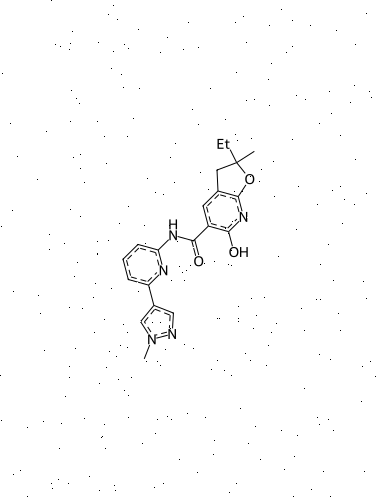 CCC1(C)Cc2cc(C(=O)Nc3cccc(-c4cnn(C)c4)n3)c(O)nc2O1